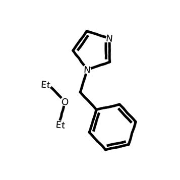 CCOCC.c1ccc(Cn2ccnc2)cc1